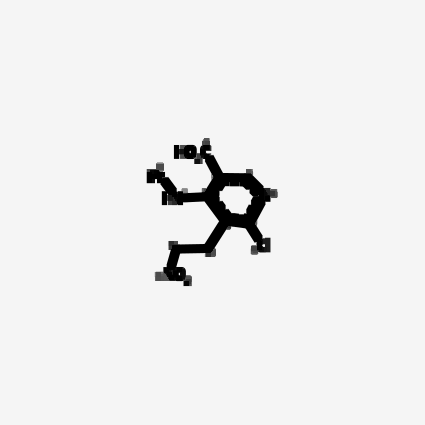 CC(C)Nc1c(C(=O)O)cnc(Cl)c1CC[N+](=O)[O-]